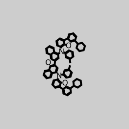 Cc1cccc(N(c2cc3c4cc(N(c5cccc(C)c5)c5cccc6c5oc5c(C7CCCCC7)cccc56)c5ccccc5c4oc3c3ccccc23)c2cccc3c2oc2c(C4CCCCC4)cccc23)c1